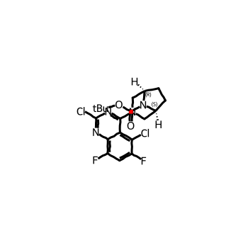 CC(C)(C)OC(=O)N1[C@@H]2CC[C@H]1CN(c1nc(Cl)nc3c(F)cc(F)c(Cl)c13)C2